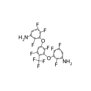 Nc1cc(F)c(F)c(Oc2cc(F)c(C(F)(F)F)c(Oc3c(F)c(N)cc(F)c3F)c2F)c1F